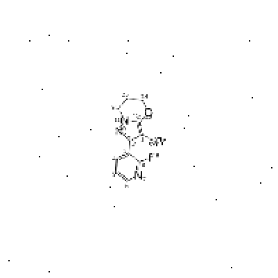 CC(C)c1c(-c2cccnc2F)nn2c1OCCC2